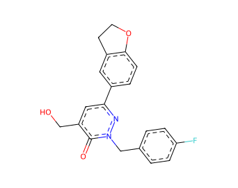 O=c1c(CO)cc(-c2ccc3c(c2)CCO3)nn1Cc1ccc(F)cc1